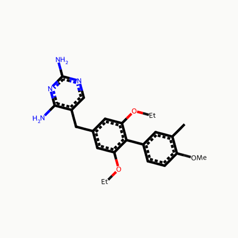 CCOc1cc(Cc2cnc(N)nc2N)cc(OCC)c1-c1ccc(OC)c(C)c1